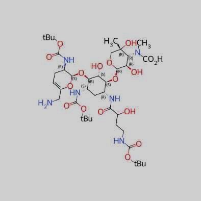 CN(C(=O)O)[C@@H]1[C@@H](O)[C@@H](O[C@@H]2[C@@H](O)[C@H](O[C@H]3OC(CN)=CC[C@H]3NC(=O)OC(C)(C)C)[C@@H](NC(=O)OC(C)(C)C)C[C@H]2NC(=O)C(O)CCNC(=O)OC(C)(C)C)OC[C@]1(C)O